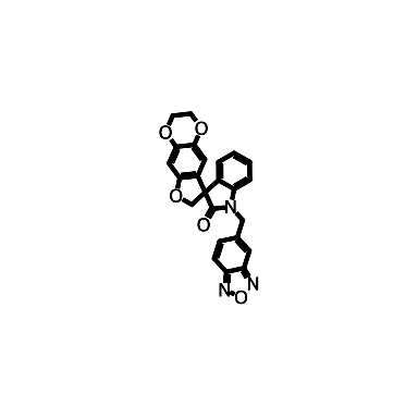 O=C1N(Cc2ccc3nonc3c2)c2ccccc2C12COc1cc3c(cc12)OCCO3